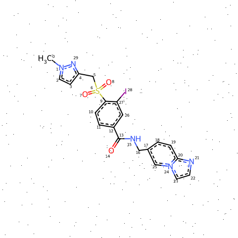 Cn1ccc(CS(=O)(=O)c2ccc(C(=O)NCc3ccc4nccn4c3)cc2I)n1